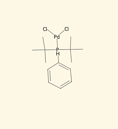 CC(C)(C)[PH](c1ccccc1)([Pd]([Cl])[Cl])C(C)(C)C